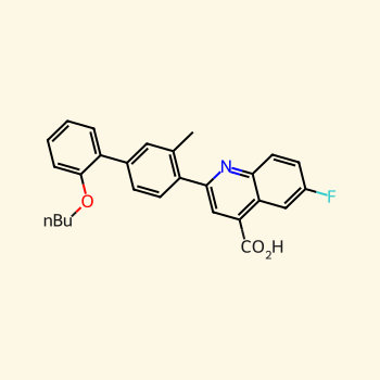 CCCCOc1ccccc1-c1ccc(-c2cc(C(=O)O)c3cc(F)ccc3n2)c(C)c1